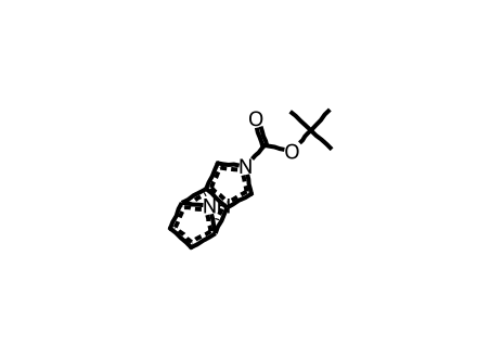 CC(C)(C)OC(=O)n1cc2c3ccc([nH]3)c2c1